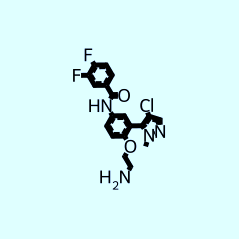 Cn1ncc(Cl)c1-c1cc(NC(=O)c2ccc(F)c(F)c2)ccc1OCCN